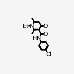 CCn1c(C)cc(=O)c(C(=O)Nc2ccc(Cl)cc2)c1C